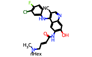 CCCCCCN(C)C/C=C/C(=O)Nc1cc2c(Nc3ccc(F)c(Cl)c3)c(C#N)cnc2cc1O